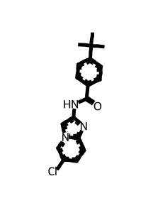 CC(C)(C)c1ccc(C(=O)Nc2cn3cc(Cl)ccc3n2)cc1